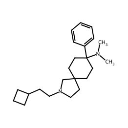 CN(C)C1(c2ccccc2)CCC2(CCN(CCC3CCC3)C2)CC1